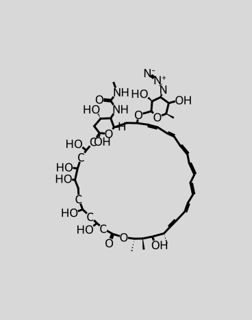 CNC(=O)NC1[C@@H]2CC(OC3O[C@H](C)C(O)[C@H](N=[N+]=[N-])[C@@H]3O)/C=C/C=C/C=C/C=C/C=C/C=C/C=C/[C@H](C)C(O)[C@@H](C)[C@H](C)OC(=O)CC(O)CC(O)CCC(O)C(O)CC(O)CC(O)(C[C@@H]1O)O2